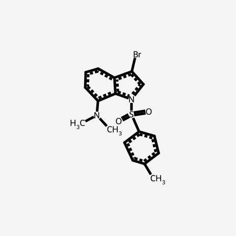 Cc1ccc(S(=O)(=O)n2cc(Br)c3cccc(N(C)C)c32)cc1